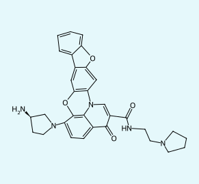 N[C@@H]1CCN(c2ccc3c(=O)c(C(=O)NCCN4CCCC4)cn4c3c2Oc2cc3c(cc2-4)oc2ccccc23)C1